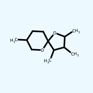 CC1CCC2(OC1)OC(C)C(C)C2C